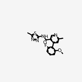 COc1cccc(F)c1-c1cc(C)ncc1C(=O)Nc1nnc(C)s1